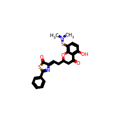 CN(C)Sc1ccc(O)c2c1OC(CC=C1N=C(c3ccccc3)SC1=O)CC2=O